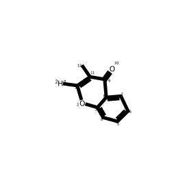 [2H]c1oc2ccccc2c(=O)c1C